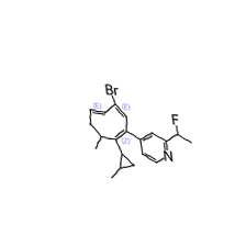 CC1C/C=C/C(Br)=C\C(c2ccnc(C(C)F)c2)=C/1C1CC1C